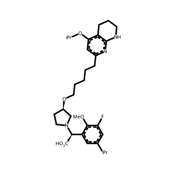 COc1c(F)cc(C(C)C)cc1[C@@H](C(=O)O)N1CC[C@@H](OCCCCCc2cc(OC(C)C)c3c(n2)NCCC3)C1